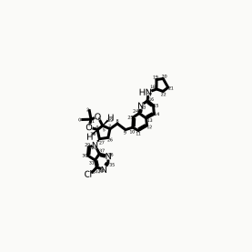 CC1(C)O[C@@H]2[C@H](O1)C(CCc1ccc3ccc(NC4CCCC4)nc3c1)C[C@H]2n1ccc2c(Cl)ncnc21